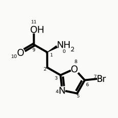 N[C@@H](Cc1ncc(Br)o1)C(=O)O